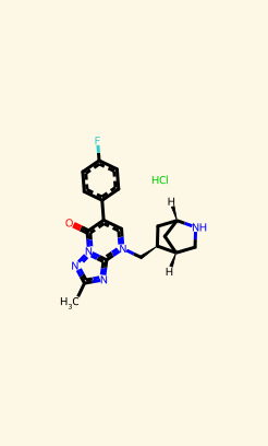 Cc1nc2n(C[C@H]3C[C@H]4C[C@@H]3CN4)cc(-c3ccc(F)cc3)c(=O)n2n1.Cl